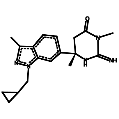 Cc1nn(CC2CC2)c2cc([C@]3(C)CC(=O)N(C)C(=N)N3)ccc12